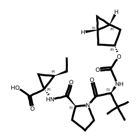 CC[C@@H]1C[C@]1(NC(=O)[C@@H]1CCCN1C(=O)[C@@H](NC(=O)O[C@@H]1C[C@@H]2C[C@@H]2C1)C(C)(C)C)C(=O)O